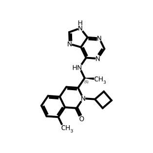 Cc1cccc2cc([C@H](C)Nc3ncnc4[nH]cnc34)n(C3CCC3)c(=O)c12